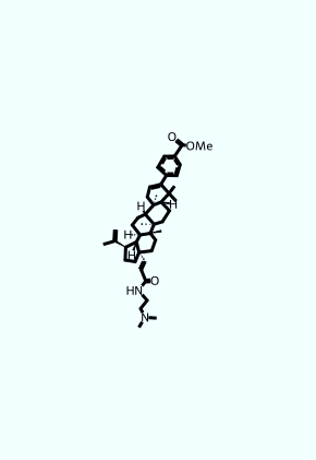 C=C(C)[C@@H]1CC[C@]2(/C=C/C(=O)NCCN(C)C)CC[C@]3(C)[C@H](CC[C@@H]4[C@@]5(C)CC=C(c6ccc(C(=O)OC)cc6)C(C)(C)[C@@H]5CC[C@]43C)[C@@H]12